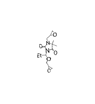 CCC(OCC1CO1)N1C(=O)N(CC2CO2)C(C)(C)C1=O